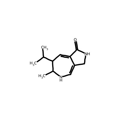 CC(C)C1C=C2C(=O)NCC2=CNC1C